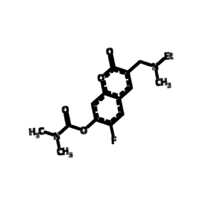 CCN(C)Cc1cc2cc(F)c(OC(=O)N(C)C)cc2oc1=O